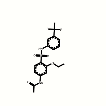 CCOc1cc(NC(C)=O)ccc1S(=O)(=O)Nc1cccc(C(C)(F)F)c1